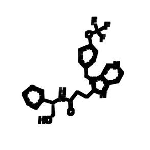 O=C(CCc1nc2ccncc2n1Cc1ccc(OC(F)(F)F)cc1)N[C@@H](CO)c1ccccc1